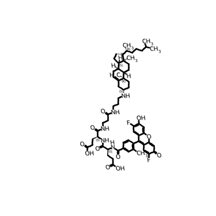 Cc1cc(C(=O)N[C@@H](CCC(=O)O)C(=O)N[C@@H](CCC(=O)O)C(=O)NCCC(=O)NCCCN[C@H]2CC[C@@]3(C)C(=CC[C@H]4[C@@H]5CC[C@H]([C@H](C)CCCC(C)C)[C@@]5(C)CC[C@@H]43)C2)ccc1-c1c2cc(F)c(=O)cc-2oc2cc(O)c(F)cc12